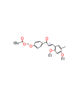 CCOc1cc(OCC)c(/C=C/C(=O)c2ccc(OCOC(=O)C(C)(C)C)cc2)cc1C